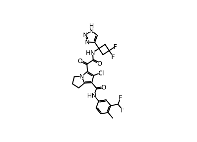 Cc1ccc(NC(=O)c2c(Cl)c(C(=O)C(=O)NC3(c4c[nH]nn4)CC(F)(F)C3)n3c2CCC3)cc1C(F)F